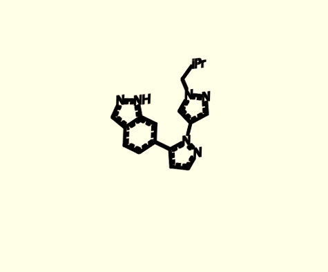 CC(C)Cn1cc(-n2nccc2-c2ccc3cn[nH]c3c2)cn1